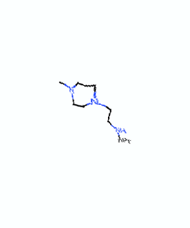 CCCNCCN1CCN(C)CC1